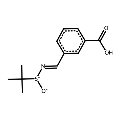 CC(C)(C)[S+]([O-])/N=C/c1cccc(C(=O)O)c1